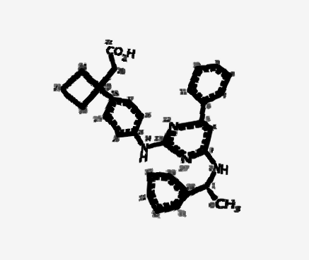 C[C@H](Nc1cc(-c2ccccc2)nc(Nc2ccc(C3(CC(=O)O)CCC3)cc2)n1)c1ccccc1